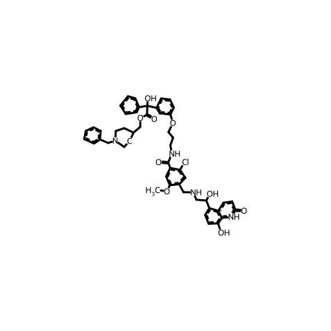 COc1cc(C(=O)NCCCOc2cccc(C(O)(C(=O)OCC3CCN(Cc4ccccc4)CC3)c3ccccc3)c2)c(Cl)cc1CNCC(O)c1ccc(O)c2[nH]c(=O)ccc12